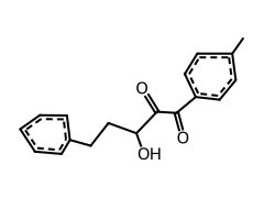 Cc1ccc(C(=O)C(=O)C(O)CCc2ccccc2)cc1